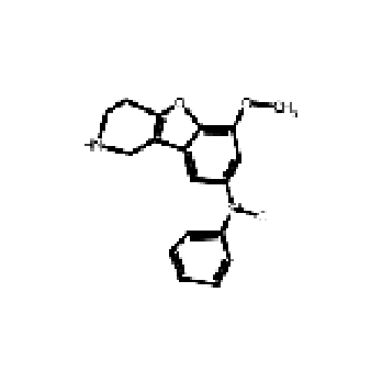 COc1cc([S+]([O-])c2ccccc2)cc2c3c(oc12)CCNC3